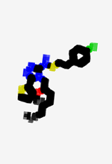 C/C=C/C=C\C(=C\n1c(NSCCc2ccc(Cl)cc2)nnc1-c1cccs1)OC